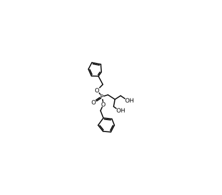 O=P(CC(CO)CO)(OCc1ccccc1)OCc1ccccc1